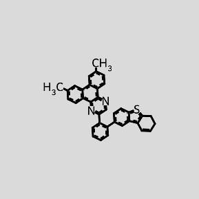 Cc1ccc2c(c1)c1cc(C)ccc1c1nc(-c3ccccc3-c3ccc4sc5c(c4c3)C=CCC5)cnc21